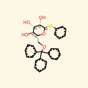 O[C@@H]1[C@H](O)[C@@H](Sc2ccccc2)O[C@H](COC(c2ccccc2)(c2ccccc2)c2ccccc2)[C@H]1O